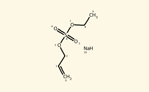 C=CCOS(=O)(=O)OCC.[NaH]